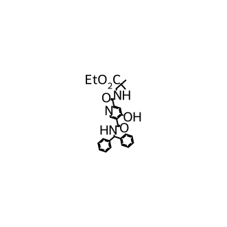 CCOC(=O)C(C)(C)CNC(=O)c1cc(O)c(C(=O)NC(c2ccccc2)c2ccccc2)cn1